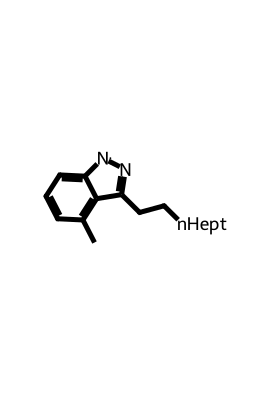 CCCCCCCCCC1=N[N]c2cccc(C)c21